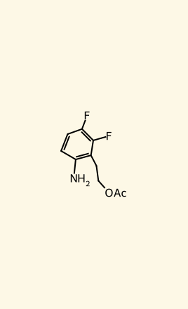 CC(=O)OCCc1c(N)ccc(F)c1F